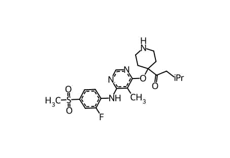 Cc1c(Nc2ccc(S(C)(=O)=O)cc2F)ncnc1OC1(C(=O)CC(C)C)CCNCC1